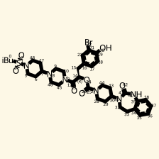 CCC(C)S(=O)(=O)N1CCC(N2CCN(C(=O)[C@@H](Cc3ccc(O)c(Br)c3)OC(=O)N3CCC(N4CCc5ccccc5NC4=O)CC3)CC2)CC1